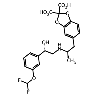 C[C@H](Cc1ccc2c(c1)OC(C(=O)O)(C(=O)O)O2)NC[C@@H](O)c1cccc(OC(F)F)c1